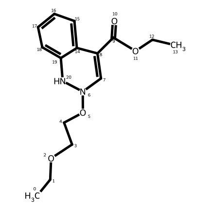 CCOCCON1C=C(C(=O)OCC)c2ccccc2N1